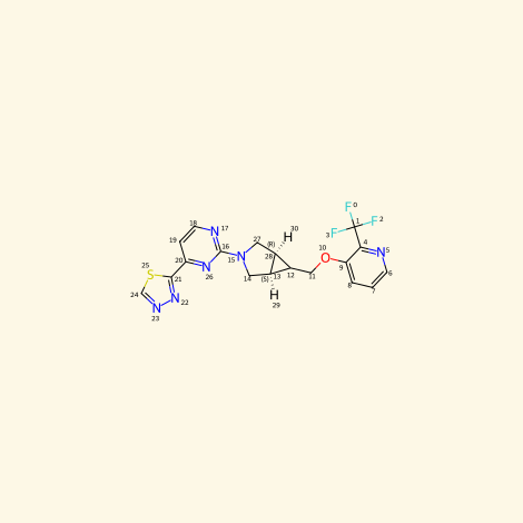 FC(F)(F)c1ncccc1OCC1[C@H]2CN(c3nccc(-c4nncs4)n3)C[C@@H]12